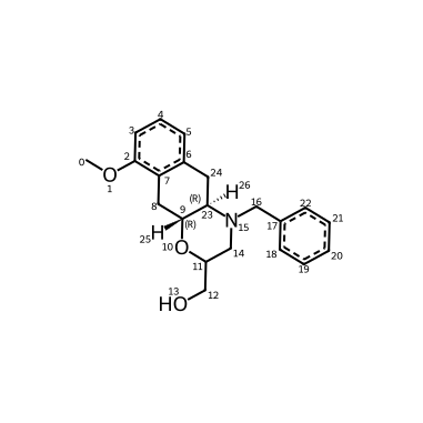 COc1cccc2c1C[C@H]1OC(CO)CN(Cc3ccccc3)[C@@H]1C2